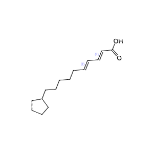 O=C(O)/C=C/C=C/CCCCCC1CCCC1